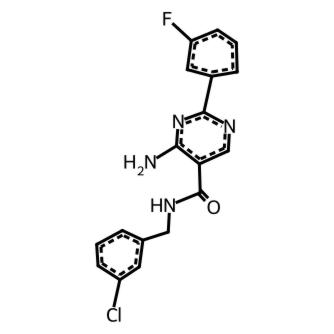 Nc1nc(-c2cccc(F)c2)ncc1C(=O)NCc1cccc(Cl)c1